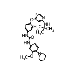 COc1cc(NC(=O)Nc2ccc(Oc3cc(NC(C)(C)C)ncn3)cc2)ccc1N1CCCCC1